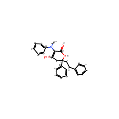 CC(C)N(C1=C(O)CC(CCc2ccccc2)(c2ccccc2)OC1=O)c1ccccc1